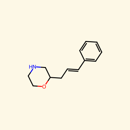 C(=Cc1ccccc1)CC1CNCCO1